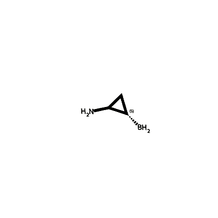 B[C@H]1CC1N